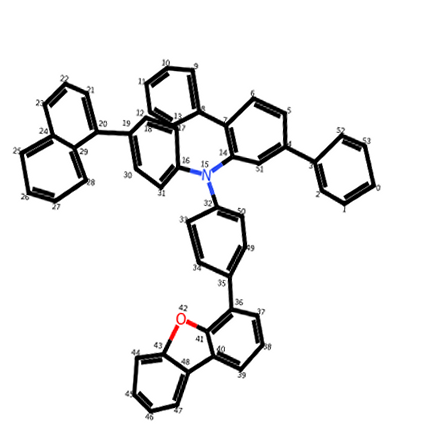 c1ccc(-c2ccc(-c3ccccc3)c(N(c3ccc(-c4cccc5ccccc45)cc3)c3ccc(-c4cccc5c4oc4ccccc45)cc3)c2)cc1